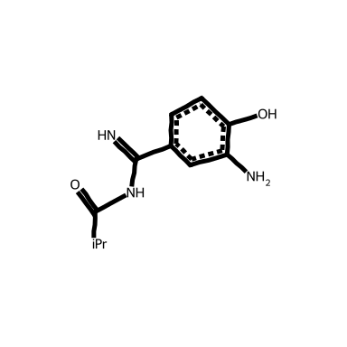 CC(C)C(=O)NC(=N)c1ccc(O)c(N)c1